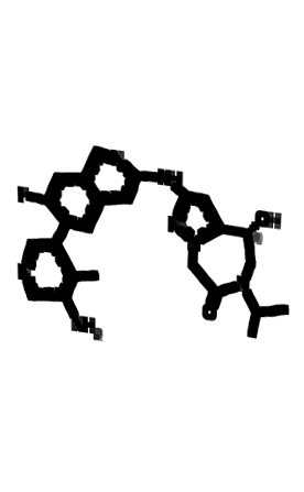 Cc1c(N)cncc1-c1cc2cc(Nc3cc4n(n3)CC(=O)N(C(C)C)C[C@H]4O)ncc2cc1F